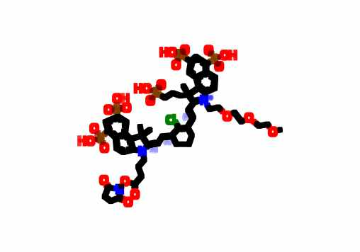 COCCOCCOCC[N+]1=C(/C=C/C2=C(Cl)C(=C/C=C3/N(CCCC(=O)ON4C(=O)CCC4=O)c4ccc5c(S(=O)(=O)O)cc(S(=O)(=O)O)cc5c4C3(C)C)/CCC2)C(C)(CCCS(=O)(=O)O)c2c1ccc1c(S(=O)(=O)O)cc(S(=O)(=O)O)cc21